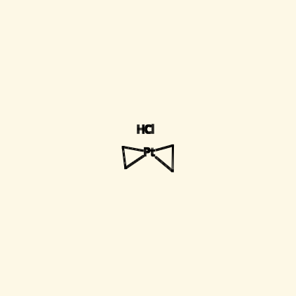 Cl.[CH2]1[CH2][Pt]12[CH2][CH2]2